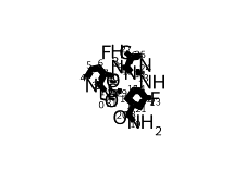 CN(c1ncccc1CNc1nc(Nc2ccc(C(N)=O)cc2F)ncc1C(F)(F)F)S(C)(=O)=O